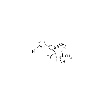 CS[C@@H]1C(=O)N(C)C(=N)N[C@]1(C)c1cc(-c2cccc(C#N)c2)cs1